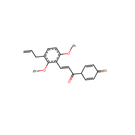 C=CCc1ccc(OC(C)C)c(/C=C/C(=O)C2C=CC(=S)C=C2)c1OC(C)C